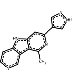 Cc1nc(-c2cn[nH]c2)cc2[nH]c3ccncc3c12